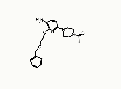 CC(=O)N1CCN(c2ccc(N)c(OCCOCc3ccccc3)n2)CC1